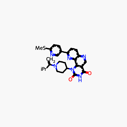 C=C(C(C)C)N1CCC(n2c(=O)[nH]c(=O)c3cnc4ccc(-c5ccc(SC)nc5)nc4c32)CC1